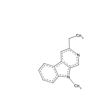 CCc1cc2c3ccccc3n(C)c2cn1